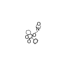 O=c1oc2c(c(OCCN3CCOCC3)c1-c1ccccc1)CCCC2